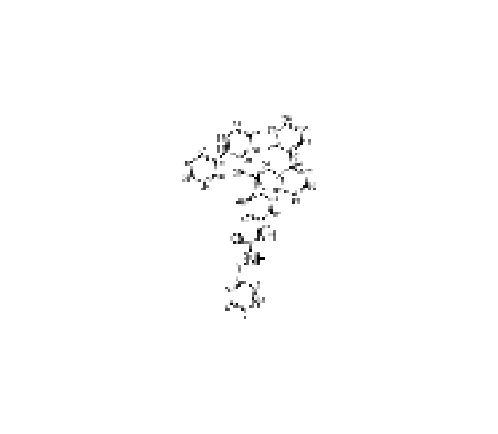 O=C(NCc1cccnc1)Nc1ccc(N(Cc2ccccc2-c2ccccc2)Cc2ccccc2-c2ccccc2)cc1